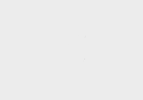 [CH2]CC(OCCCC)OC(C)=O